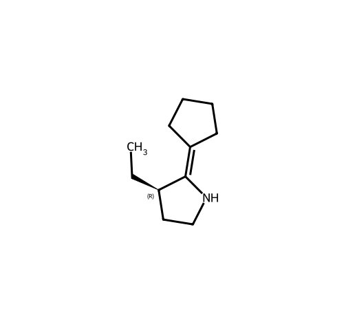 CC[C@@H]1CCNC1=C1CCCC1